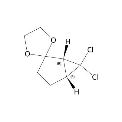 ClC1(Cl)[C@@H]2CCC3(OCCO3)[C@@H]21